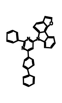 c1ccc(-c2ccc(-c3cc(-n4c5ccccc5c5c6occc6ccc54)nc(-c4ccccc4)n3)cc2)cc1